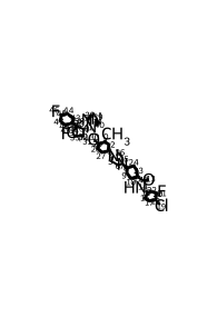 Cc1cc(N2CCN(c3ccc(C(=O)Nc4ccc(Cl)c(F)c4)cc3)CC2)ccc1OC[C@@H]1CO[C@@](Cn2cncn2)(c2ccc(F)cc2F)C1